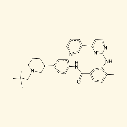 Cc1ccc(C(=O)Nc2ccc(C3CCCN(CC(C)(C)C)C3)cc2)cc1Nc1nccc(-c2cccnc2)n1